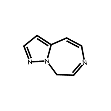 C1=Cc2ccnn2CC=N1